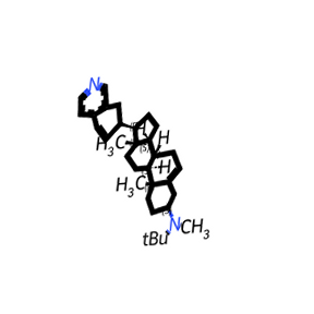 CN([C@H]1CC[C@@]2(C)C(=CC[C@H]3[C@@H]4CC[C@H](C5C=Cc6ccncc6C5)[C@@]4(C)CC[C@@H]32)C1)C(C)(C)C